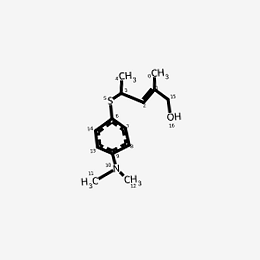 C/C(=C\C(C)Sc1ccc(N(C)C)cc1)CO